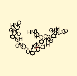 O=C1CCC(N2C(=O)c3cccc(NCCC(=O)N4CCC(COc5cccc(-c6ccc(Cl)cc6)c5CN5CCN(c6ccc(C(=O)NS(=O)(=O)c7ccc(NCC8CCOCC8)c([N+](=O)[O-])c7)c(Oc7cnc8[nH]ccc8c7)c6)CC5)CC4)c3C2=O)C(=O)N1